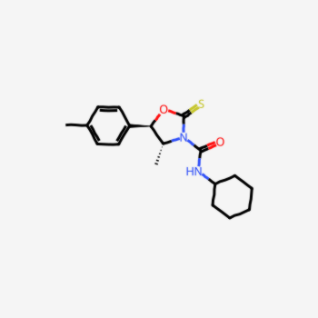 Cc1ccc([C@H]2OC(=S)N(C(=O)NC3CCCCC3)[C@@H]2C)cc1